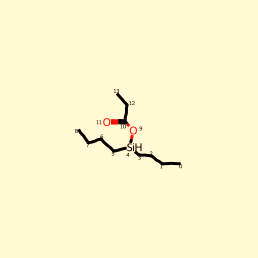 CCCC[SiH](CCCC)OC(=O)CC